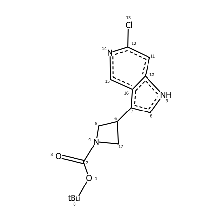 CC(C)(C)OC(=O)N1CC(c2c[nH]c3cc(Cl)ncc23)C1